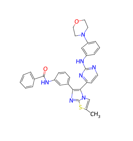 Cc1cn2c(-c3ccnc(Nc4cccc(N5CCOCC5)c4)n3)c(-c3cccc(NC(=O)c4ccccc4)c3)nc2s1